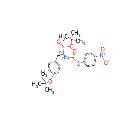 CC(C)(C)OC(=O)[C@H](Cc1ccc(OC(C)(C)C)cc1)NC(=O)Oc1ccc([N+](=O)[O-])cc1